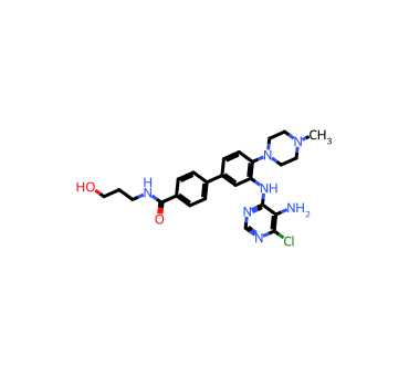 CN1CCN(c2ccc(-c3ccc(C(=O)NCCCO)cc3)cc2Nc2ncnc(Cl)c2N)CC1